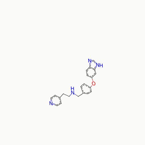 c1cc(CCNCc2ccc(Oc3ccc4nc[nH]c4c3)cc2)ccn1